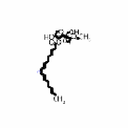 CCCCCCCC/C=C\CCCCCCCC(=O)O[C@@H]1[C@@H](O)CO[C@@H]1[C@@]1(CO)OCC1OCC